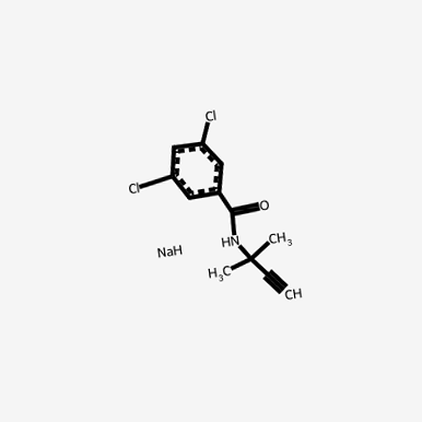 C#CC(C)(C)NC(=O)c1cc(Cl)cc(Cl)c1.[NaH]